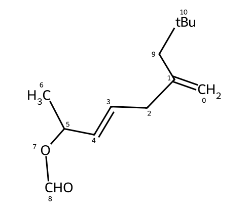 C=C(CC=CC(C)OC=O)CC(C)(C)C